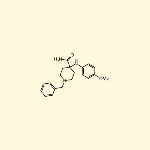 COc1ccc(NC2(C(N)=O)CCN(Cc3ccccc3)CC2)cc1